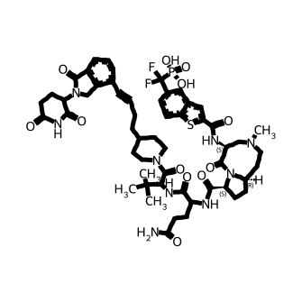 CN1CC[C@H]2CC[C@@H](C(=O)NC(CCC(N)=O)C(=O)NC(C(=O)N3CCC(CCC#Cc4cccc5c4CN(C4CCC(=O)NC4=O)C5=O)CC3)C(C)(C)C)N2C(=O)[C@@H](NC(=O)c2cc3cc(C(F)(F)P(=O)(O)O)ccc3s2)C1